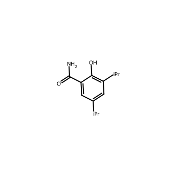 CC(C)c1cc(C(N)=O)c(O)c(C(C)C)c1